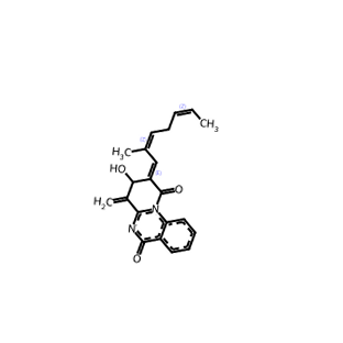 C=C1c2nc(=O)c3ccccc3n2C(=O)/C(=C/C(C)=C\C/C=C\C)C1O